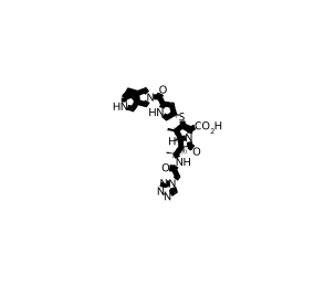 C[C@@H](NC(=O)Cn1cnnn1)[C@H]1C(=O)N2C(C(=O)O)=C(S[C@@H]3CNC(C(=O)N4CC5CC6CC5(CN6)C4)C3)[C@H](C)[C@H]12